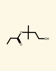 CCC(=O)OC(C)(C)CCO